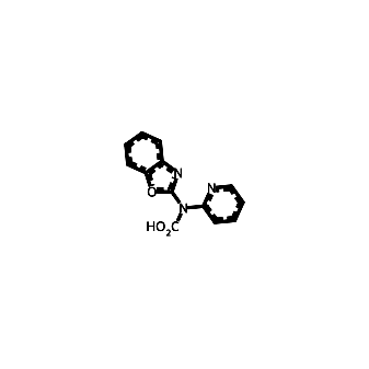 O=C(O)N(c1ccccn1)c1nc2ccccc2o1